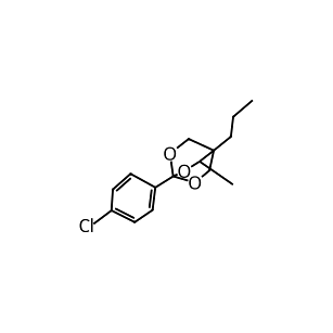 CCCC12COC(c3ccc(Cl)cc3)(OC1)OC2C